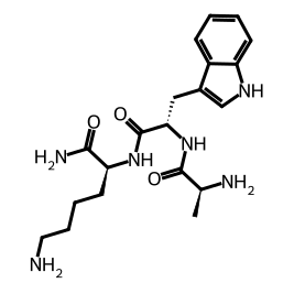 C[C@H](N)C(=O)N[C@@H](Cc1c[nH]c2ccccc12)C(=O)N[C@@H](CCCCN)C(N)=O